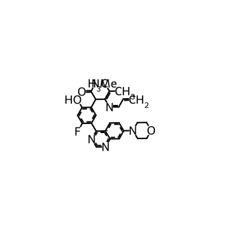 C=C/C=N\C(=C(C)C)C(C(=O)NC)c1cc(-c2ncnc3cc(N4CCOCC4)ccc23)c(F)cc1O